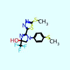 CSc1ccc(N2CC(O)(C(F)(F)F)N=C2c2nnc(SC)s2)cc1